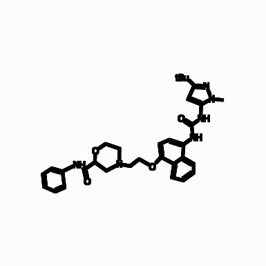 Cn1nc(C(C)(C)C)cc1NC(=O)Nc1ccc(OCCN2CCOC(C(=O)Nc3ccccc3)C2)c2ccccc12